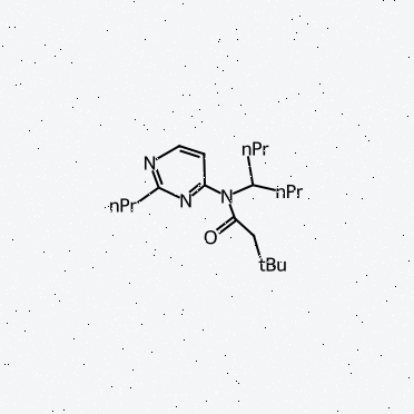 CCCc1nccc(N(C(=O)CC(C)(C)C)C(CCC)CCC)n1